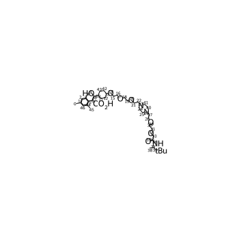 Cc1cc(C)c(/C(C(=O)O)=C(\O)C2CCC(OCCOCCOCCN3CCN(CCOCCOCC(=O)NC(C)C(C)(C)C)CC3)CC2)c(C)c1